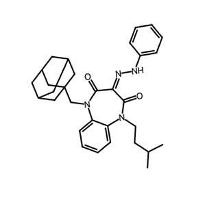 CC(C)CCn1c(=O)c(=NNc2ccccc2)c(=O)n(CC23CC4CC(CC(C4)C2)C3)c2ccccc21